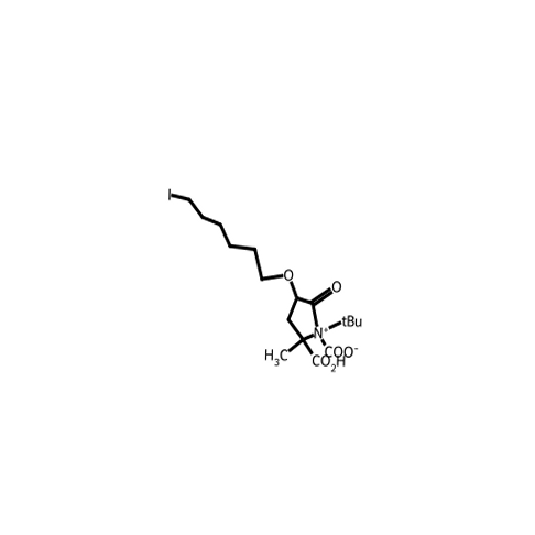 CC(C)(C)[N+]1(C(=O)[O-])C(=O)C(OCCCCCCI)CC1(C)C(=O)O